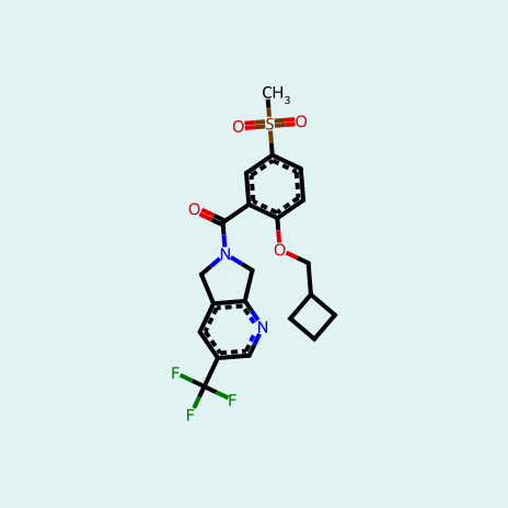 CS(=O)(=O)c1ccc(OCC2CCC2)c(C(=O)N2Cc3cc(C(F)(F)F)cnc3C2)c1